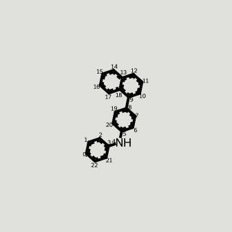 [c]1ccc(Nc2ccc(-c3cccc4ccccc34)cc2)cc1